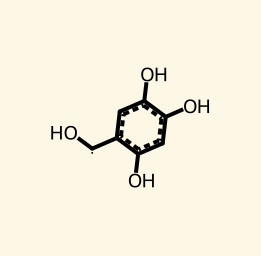 O[CH]c1cc(O)c(O)cc1O